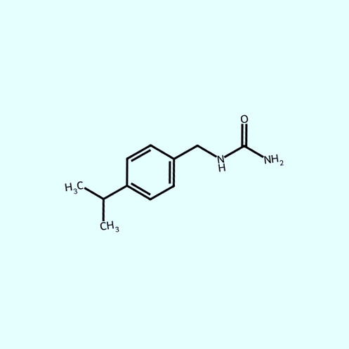 CC(C)c1ccc(CNC(N)=O)cc1